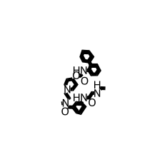 CCNCC(=O)Nc1cccc(C(=O)N(C)CCN2CCC(OC(=O)Nc3ccccc3-c3ccccc3)CC2)c1